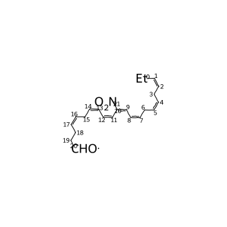 CC/C=C\C/C=C\C\C=C/C=C(\C=C/C=C\C/C=C\CC[C]=O)[N+](=O)[O-]